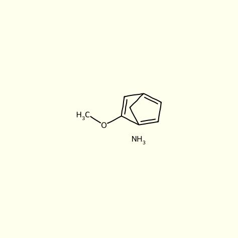 COC1=CC2=CC=C1C2.N